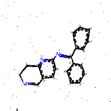 C1=NCCc2nc(N=C(c3ccccc3)c3ccccc3)ccc21